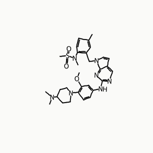 COc1cc(Nc2ncc3ccn(Cc4cc(C)ccc4N(C)S(C)(=O)=O)c3n2)ccc1N1CCC(N(C)C)CC1